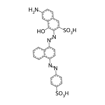 Nc1ccc2cc(S(=O)(=O)O)c(N=Nc3ccc(N=Nc4ccc(S(=O)(=O)O)cc4)c4ccccc34)c(O)c2c1